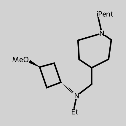 CCCC(C)N1CCC(CN(CC)[C@H]2C[C@H](OC)C2)CC1